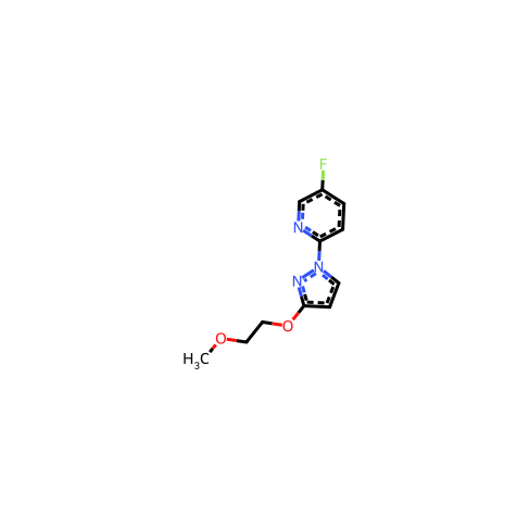 COCCOc1ccn(-c2ccc(F)cn2)n1